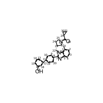 Cc1cccc2nc(-c3ccc(-c4cccc(O)c4)cc3)n(C[C@@H]3CCN(C(=O)C4CC4)C3)c12